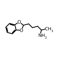 CC(N)CCCC1Oc2ccccc2O1